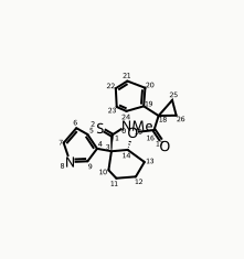 CNC(=S)[C@]1(c2cccnc2)CCCC[C@H]1OC(=O)C1(c2ccccc2)CC1